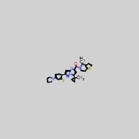 C[C@@H]1c2ccsc2CCN1C(=O)c1cc(C2(C)CC2)n2nc(-c3ccc(N4CCCC4)cc3F)cc2n1